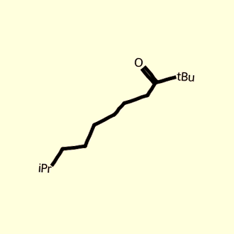 CC(C)CCCCCCC(=O)C(C)(C)C